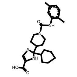 Cc1ccc(C)c(NC(=O)N2CCC(C3(C4CCCCC4)NC(C(=O)O)=CS3)CC2)c1